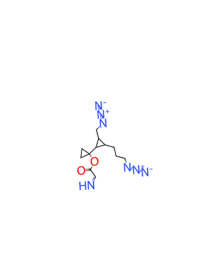 [N-]=[N+]=NCCCC1C(CN=[N+]=[N-])C1C1(OC(=O)C=N)CC1